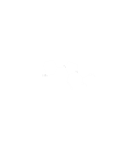 CC(C)N1CCN(C2CCCNC2)C1C=O